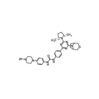 CC(C)N1CCN(c2ccc(NC(=O)Nc3ccc(-c4nc(N5C6CCC5COC6)nc(N5[C@H](C)CC[C@@H]5C)n4)cc3)cc2)CC1